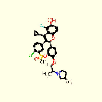 CC1CCN(C(C)COc2ccc(C3Oc4ccc(O)c(F)c4C(C4CC4)=C3c3ccc(Cl)c(S(C)(=O)=O)c3)cc2)C1